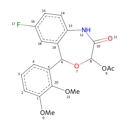 COc1cccc(C2OC(OC(C)=O)C(=O)Nc3ccc(F)cc32)c1OC